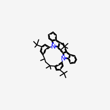 CC1CC(C)(C)c2cc(cc(C(C)(C)C)c2)-n2c3ccccc3c3cc4c5ccccc5n(c4c(C(C)(C)C)c32)-c2cc1cc(C(C)(C)C)c2